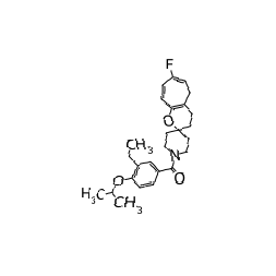 CCc1cc(C(=O)N2CCC3(CCC4=C(C=CC(F)=CC4)O3)CC2)ccc1OC(C)C